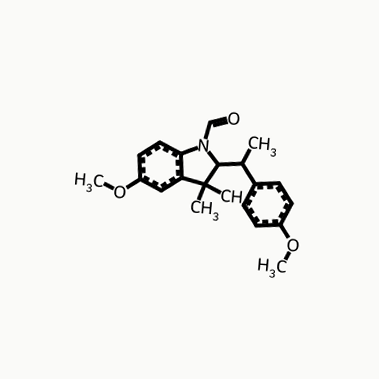 COc1ccc(C(C)C2N(C=O)c3ccc(OC)cc3C2(C)C)cc1